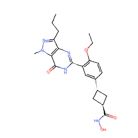 CCCc1nn(C)c2c(=O)[nH]c(-c3cc([C@H]4C[C@H](C(=O)NO)C4)ccc3OCC)nc12